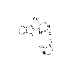 O=C1NCCN1CCOc1ncc(C(F)(F)F)c(-c2cc3ccccc3s2)n1